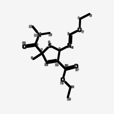 CCOC=NC1SC(C)(C(=O)N(C)C)C=C1C(=O)OCC